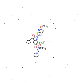 COc1ccc2nc(NC(=O)C(CC3CCCC3)c3ccc(S(=O)(=O)N(C)CCN4CCCCC4)cc3)sc2n1.Cl